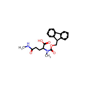 CNC(=O)CCC(C(=O)O)N(C)C(=O)OCC1c2ccccc2-c2ccccc21